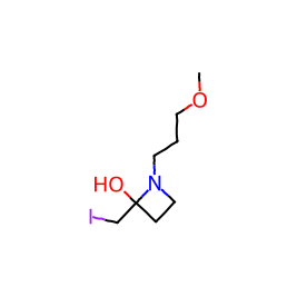 COCCCN1CCC1(O)CI